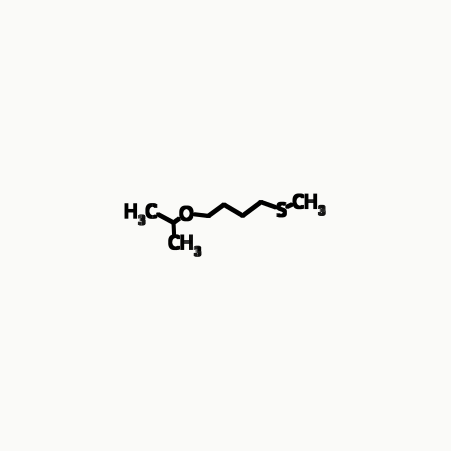 CSCCCCOC(C)C